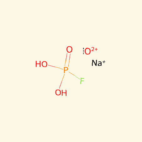 O=P(O)(O)F.[Na+].[O+2]